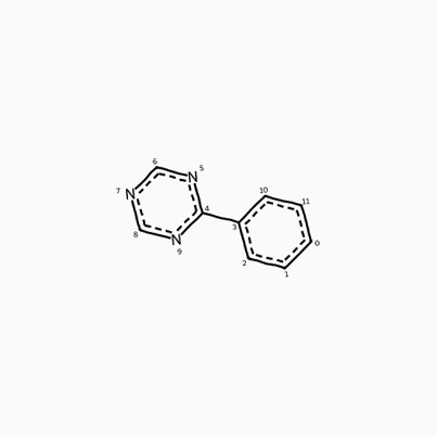 c1ccc(-c2ncncn2)cc1